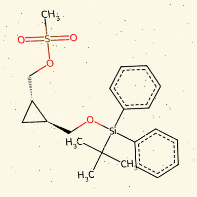 CC(C)(C)[Si](OC[C@H]1C[C@@H]1COS(C)(=O)=O)(c1ccccc1)c1ccccc1